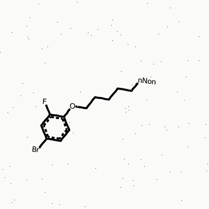 CCCCCCCCCCCCCCOc1ccc(Br)cc1F